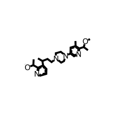 COC(C)c1ncc(N2CCN(CCC(C)c3cccnc3C(C)OC)CC2)cc1C